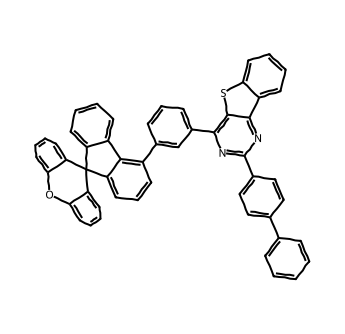 c1ccc(-c2ccc(-c3nc(-c4cccc(-c5cccc6c5-c5ccccc5C65c6ccccc6Oc6ccccc65)c4)c4sc5ccccc5c4n3)cc2)cc1